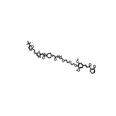 COc1cc(C=CC(=O)N2CCC=CC2=O)cc(OC)c1OCCOCCOCCNC(=O)CN1CCC(C(=O)Nc2ncc(SCc3ncc(C(C)(C)C)o3)s2)CC1